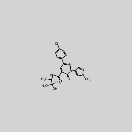 CC(NC(=O)c1cc(-c2ccc(Cl)cc2)nn(-c2cnn(C)c2)c1=O)C(C)(C)O